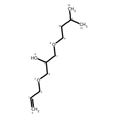 C=CCOCC(O)COCCC(C)C